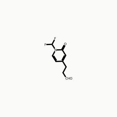 O=CCCc1ccn(C(F)F)c(=O)c1